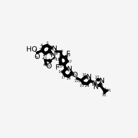 O=C(O)c1ccc2nc(Cc3cc(F)c(-c4cccc(OCc5ccc(-n6cnc(C7CC7)n6)nc5)n4)cc3F)n(C[C@@H]3CCO3)c2c1